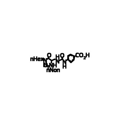 CCCCCCCCCC(=O)NC(CNC(=O)Nc1ccc(C(=O)O)cc1)C(=O)NCCCCCC